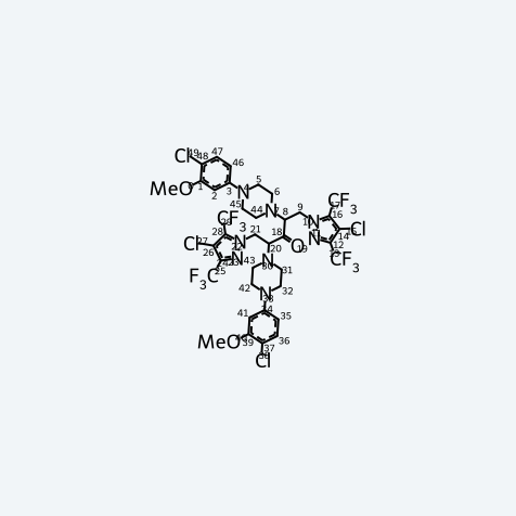 COc1cc(N2CCN(C(Cn3nc(C(F)(F)F)c(Cl)c3C(F)(F)F)C(=O)C(Cn3nc(C(F)(F)F)c(Cl)c3C(F)(F)F)N3CCN(c4ccc(Cl)c(OC)c4)CC3)CC2)ccc1Cl